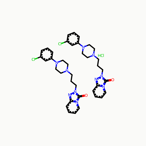 Cl.O=c1n(CCCN2CCN(c3cccc(Cl)c3)CC2)nc2ccccn12.O=c1n(CCCN2CCN(c3cccc(Cl)c3)CC2)nc2ccccn12